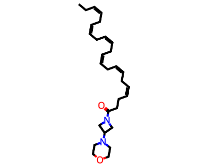 CC/C=C\C/C=C\C/C=C\C/C=C\C/C=C\C/C=C\CCC(=O)N1CC(N2CCOCC2)C1